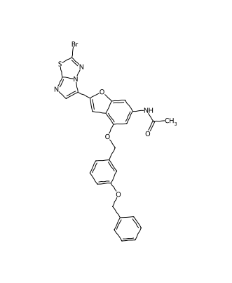 CC(=O)Nc1cc(OCc2cccc(OCc3ccccc3)c2)c2cc(-c3cnc4sc(Br)nn34)oc2c1